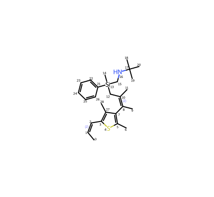 C/C=C\c1sc(C)c(/C(C)=C(/C)C[Si](C)(CNC(C)(C)C)c2ccccc2)c1C